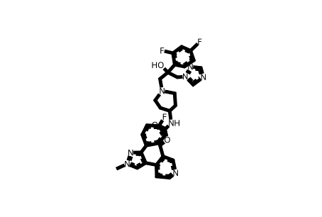 Cn1cc(-c2ccncc2COC(=O)NC2CCN(CC(O)(Cn3cncn3)c3ccc(F)cc3F)CC2)c(-c2ccc(F)cc2)n1